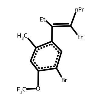 CCC/C(CC)=C(\CC)c1cc(Br)c(OC(F)(F)F)cc1C